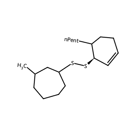 CCCCCC1CCC=C[C@H]1SSC1CCCCC(C)C1